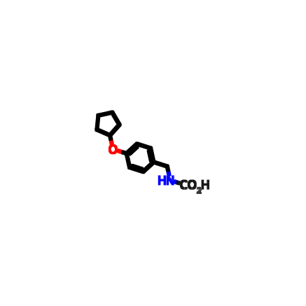 O=C(O)NCc1ccc(OC2CCCC2)cc1